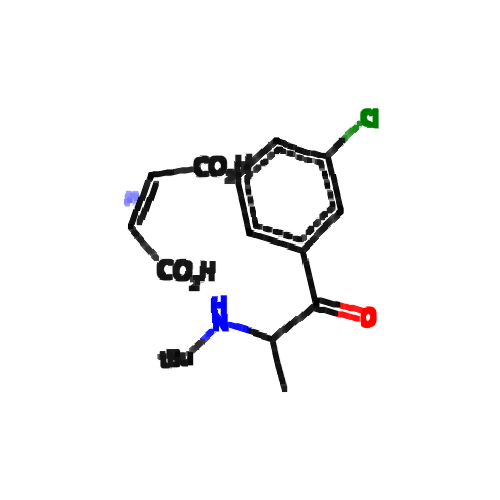 CC(NC(C)(C)C)C(=O)c1cccc(Cl)c1.O=C(O)/C=C\C(=O)O